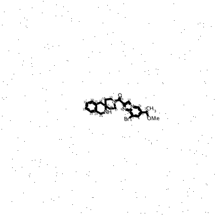 COC(C)c1cc(Br)c2nc(C(=O)N3CCC4(CC3)Cc3ccccc3CN4)cn2c1